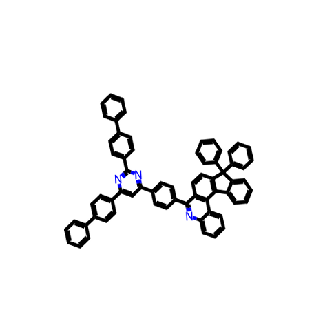 c1ccc(-c2ccc(-c3cc(-c4ccc(-c5nc6ccccc6c6c7c(ccc56)C(c5ccccc5)(c5ccccc5)c5ccccc5-7)cc4)nc(-c4ccc(-c5ccccc5)cc4)n3)cc2)cc1